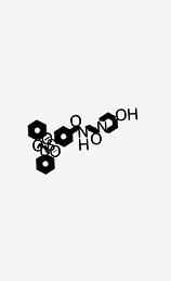 O=C(NCC(=O)N1CCC(O)CC1)c1ccc(S(=O)(=O)N(Oc2ccccc2)c2ccccc2)cc1